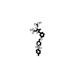 Cc1ccc(S(=O)(=O)N2CCC(COc3cccc(-c4sc(C(=O)O)c(OCC(=O)O)c4C)c3)CC2)cc1